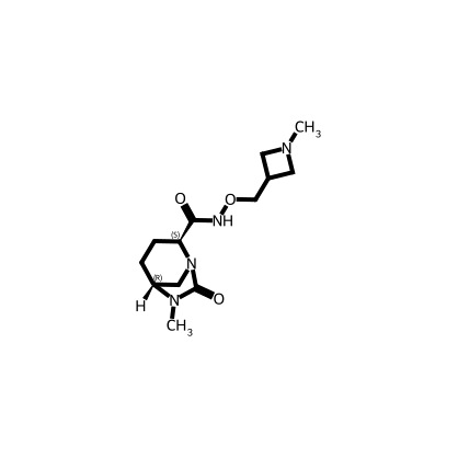 CN1CC(CONC(=O)[C@@H]2CC[C@@H]3CN2C(=O)N3C)C1